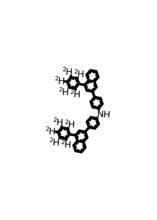 [2H]c1c([2H])c([2H])c(-c2cc(-c3ccc(Nc4ccc(-c5cc(-c6c([2H])c([2H])c([2H])c([2H])c6[2H])c6ccccc6c5)cc4)cc3)cc3ccccc23)c([2H])c1[2H]